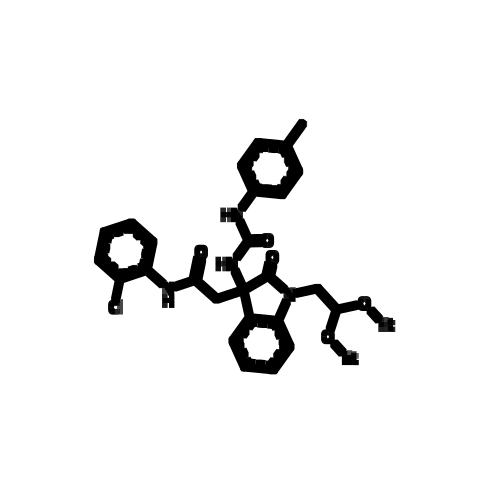 CCOC(CN1C(=O)C(CC(=O)Nc2ccccc2Cl)(NC(=O)Nc2ccc(C)cc2)c2ccccc21)OCC